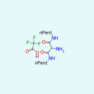 CCCCCNC(=O)C(N)C(=O)NCCCCC.O=C(O)C(F)(F)F